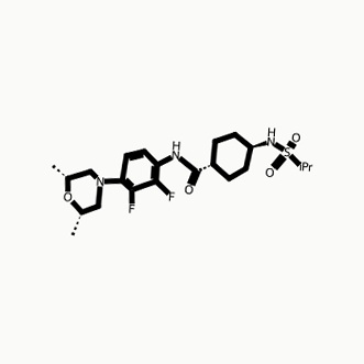 CC(C)S(=O)(=O)N[C@H]1CC[C@H](C(=O)Nc2ccc(N3C[C@@H](C)O[C@@H](C)C3)c(F)c2F)CC1